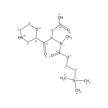 CN(C(=O)OCC[Si](C)(C)C)C(CC(=O)O)C(=O)C1CNCCO1